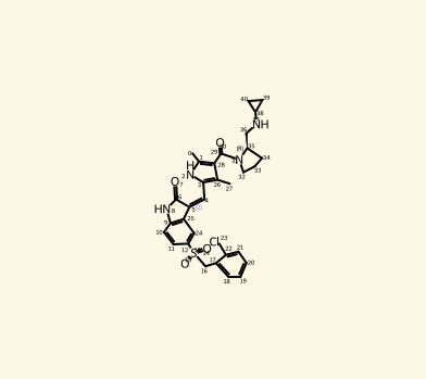 Cc1[nH]c(/C=C2\C(=O)Nc3ccc(S(=O)(=O)Cc4ccccc4Cl)cc32)c(C)c1C(=O)N1CCC[C@@H]1CNC1CC1